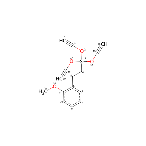 C#CO[Si](CCc1ccccc1OC)(OC#C)OC#C